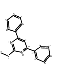 CSc1nc(-c2ccccc2)cc(-c2ccccc2)n1